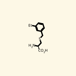 CCc1cccc(CSC[C@H](N)C(=O)O)c1